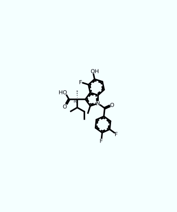 CCC(C)[C@@](C)(C(=O)O)c1c(C)n(C(=O)c2ccc(F)c(F)c2)c2ccc(O)c(F)c12